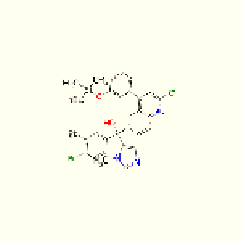 CCc1cc(C(O)(c2ccc3nc(Cl)cc(-c4cccc(O[Si](C)(C)C(C)(C)C)c4)c3c2)c2cncn2C)ccc1Br